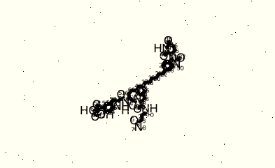 C[C@H](CCC(=O)N(C)C)NC(=O)[C@@H]1Cc2cc(CCCCCCc3ccc4c(c3)n(C)c(=O)n4C3CCC(=O)NC3=O)cc3c2N1C(=O)[C@@H](NC(=O)c1cc2cc(C(=O)P(=O)(O)O)ccc2[nH]1)CC3